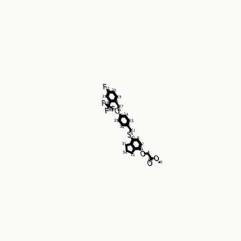 COC(=O)COc1ccc(SCc2ccc(OCc3ccc(F)cc3C(F)(F)F)cc2)c2c1CCC2